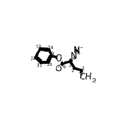 C=CCC(=[N+]=[N-])C(=O)Oc1ccccc1